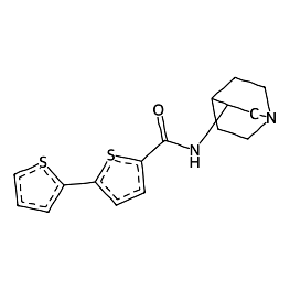 O=C(NC1CN2CCC1CC2)c1ccc(-c2cccs2)s1